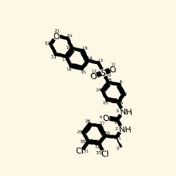 C[C@H](NC(=O)Nc1ccc(S(=O)(=O)Cc2ccc3c(c2)COCC3)cc1)c1cccc(Cl)c1Cl